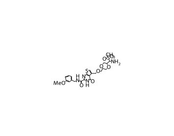 COc1cccc(CNC(=O)c2nc3scc(COCC4COC(C(N)S(C)(=O)=O)CO4)c3c(=O)[nH]2)c1